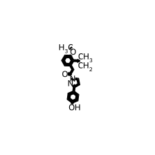 C=C(C)c1c(CC(=O)N2CCC(c3ccc(O)cc3)=N2)cccc1OC